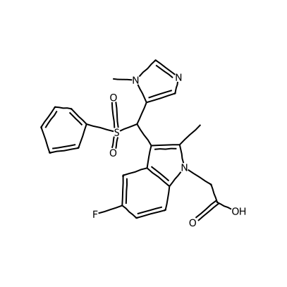 Cc1c(C(c2cncn2C)S(=O)(=O)c2ccccc2)c2cc(F)ccc2n1CC(=O)O